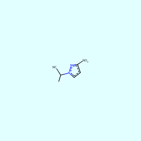 CC(C#N)n1ccc([N+](=O)[O-])n1